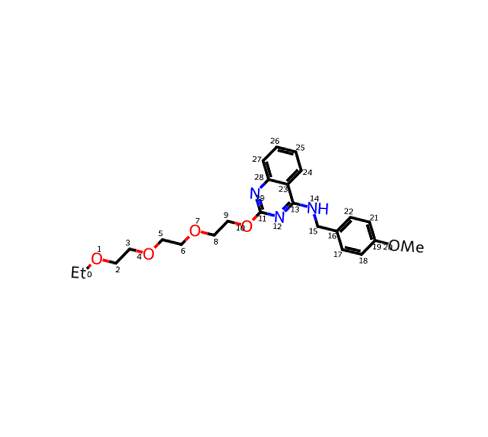 CCOCCOCCOCCOc1nc(NCc2ccc(OC)cc2)c2ccccc2n1